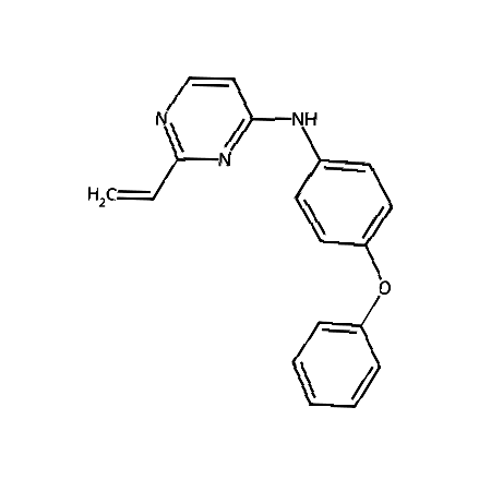 C=Cc1nccc(Nc2ccc(Oc3ccccc3)cc2)n1